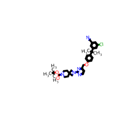 CC(C)(C)OC(=O)N1CCC2(CC1)CN(c1nccc(COc3ccc(C(C)(C)c4cc(Cl)cc(C#N)c4)cc3)n1)C2